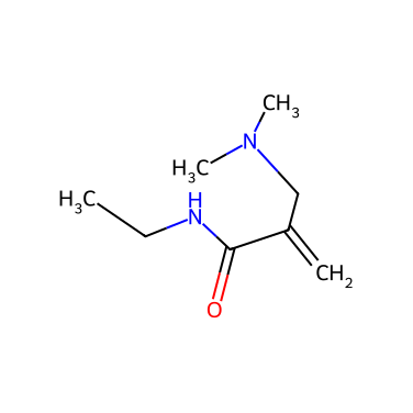 C=C(CN(C)C)C(=O)NCC